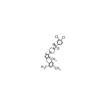 Cc1cc(C)c(Cc2csc(N3CCN(S(=O)(=O)c4ccc(Cl)c(Cl)c4)CC3)n2)c(C)c1